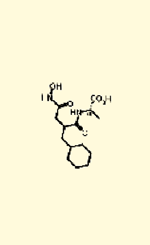 C[C@H](NC(=O)C(CC(=O)NO)CC1CCCCC1)C(=O)O